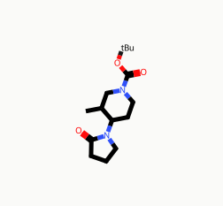 CC1CN(C(=O)OC(C)(C)C)CCC1N1CCCC1=O